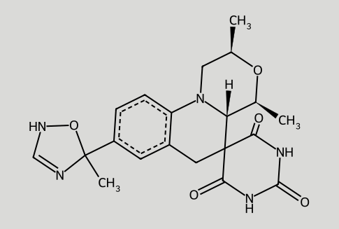 C[C@@H]1CN2c3ccc(C4(C)N=CNO4)cc3CC3(C(=O)NC(=O)NC3=O)[C@H]2[C@H](C)O1